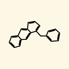 c1ccc(Cc2cccc3cc4ccccc4cc23)cc1